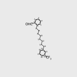 O=Cc1ccccc1CCCCCCCCc1cccc(C(F)(F)F)c1